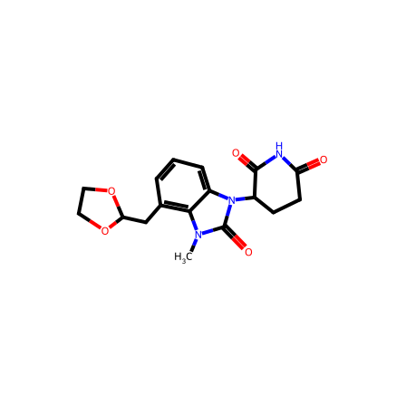 Cn1c(=O)n(C2CCC(=O)NC2=O)c2cccc(CC3OCCO3)c21